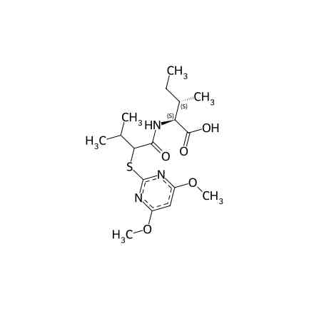 CC[C@H](C)[C@H](NC(=O)C(Sc1nc(OC)cc(OC)n1)C(C)C)C(=O)O